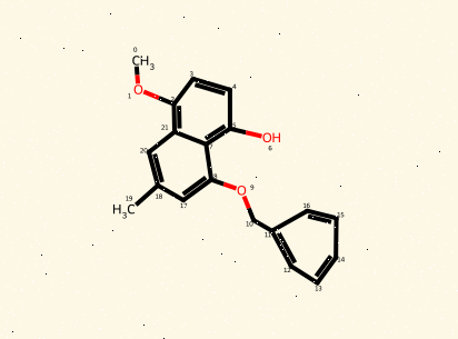 COc1ccc(O)c2c(OCc3ccccc3)cc(C)cc12